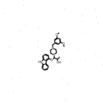 COc1cc(CN2CCN(C(Oc3cccc4[nH]c5ccccc5c34)C(C)O)CC2)cc(OC)c1